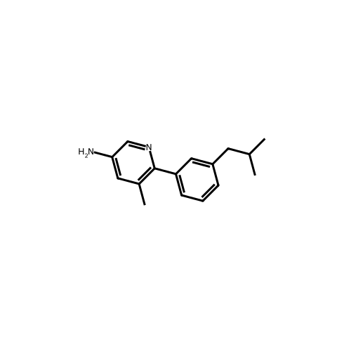 Cc1cc(N)cnc1-c1cccc(CC(C)C)c1